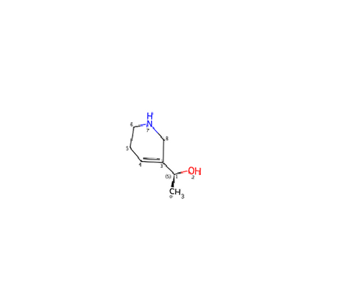 C[C@H](O)C1=CCCNC1